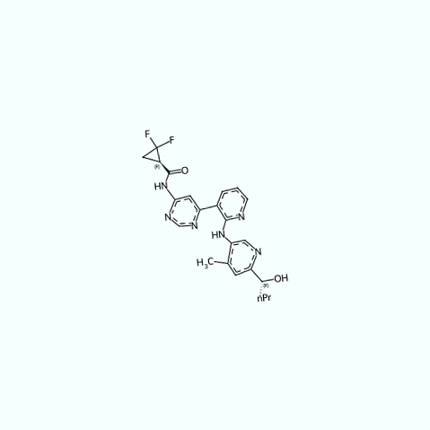 CCC[C@@H](O)c1cc(C)c(Nc2ncccc2-c2cc(NC(=O)[C@H]3CC3(F)F)ncn2)cn1